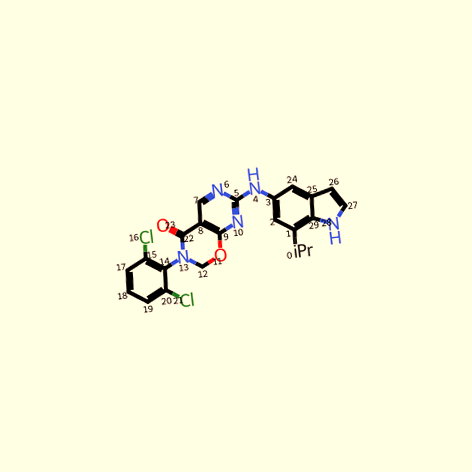 CC(C)c1cc(Nc2ncc3c(n2)OCN(c2c(Cl)cccc2Cl)C3=O)cc2cc[nH]c12